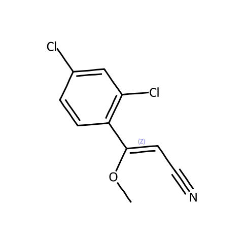 CO/C(=C\C#N)c1ccc(Cl)cc1Cl